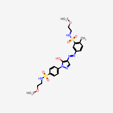 Cc1ccc(/N=N/c2cnn(-c3ccc(S(=O)(=O)NCCOS(=O)(=O)O)cc3)c2O)cc1S(=O)(=O)NCCOS(=O)(=O)O